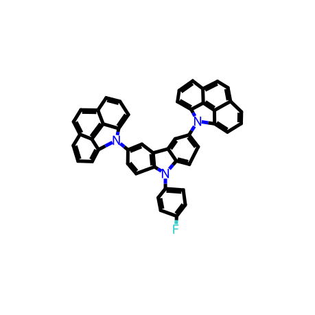 Fc1ccc(-n2c3ccc(-n4c5cccc6ccc7cccc4c7c65)cc3c3cc(-n4c5cccc6ccc7cccc4c7c65)ccc32)cc1